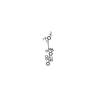 CCC(C)(C)c1ccc(OCCCCNC(=O)c2cc(C(Cl)(Cl)C(=O)Nc3ccccc3)ccc2OC)c(C(C)(C)CC)c1